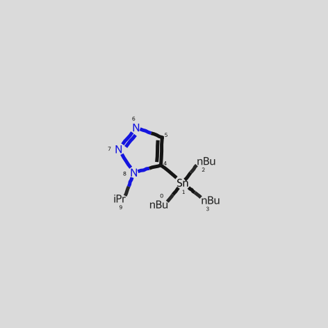 CCC[CH2][Sn]([CH2]CCC)([CH2]CCC)[c]1cnnn1C(C)C